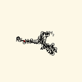 CC[C@H](NC(=O)[C@H]([C@H](O)[C@H](C)C/C=C/CCC(=O)NCCNC(=O)CCSSc1ccccn1)N(C)C(=O)[C@H](C(C)C)N(C)C(=O)[C@H](CC(C)C)N(C)C(=O)[C@H](CC(C)C)N(C)C(=O)[C@@H](C)NC(=O)[C@H](C)NC(=O)[C@H](CC(C)C)N(C)C(=O)[C@@H](C)C(C)C)C(=O)N(C)CC(=O)N(C)[C@@H](CC(C)C)C(N)=O